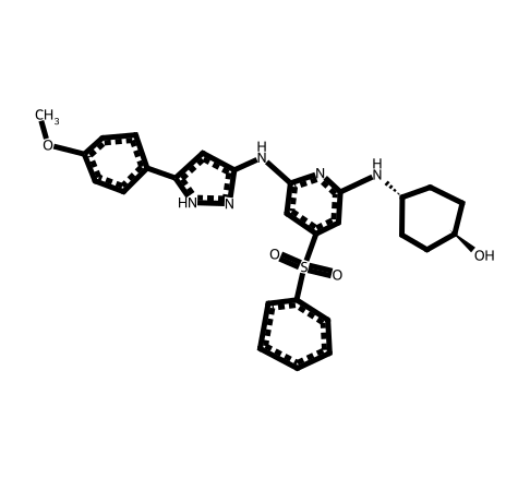 COc1ccc(-c2cc(Nc3cc(S(=O)(=O)c4ccccc4)cc(N[C@H]4CC[C@H](O)CC4)n3)n[nH]2)cc1